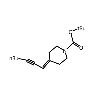 CCCCC#CC=C1CCN(C(=O)OC(C)(C)C)CC1